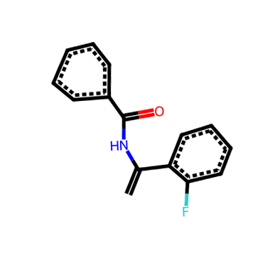 C=C(NC(=O)c1ccccc1)c1ccccc1F